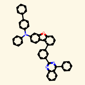 c1ccc(-c2ccc(N(c3ccccc3)c3ccc4c(c3)oc3cccc(-c5cccc(-c6nc(-c7ccccc7)c7ccccc7n6)c5)c34)cc2)cc1